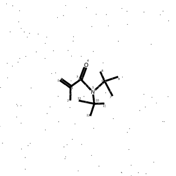 C=C(C)C(=O)N(C(C)(C)C)C(C)(C)C